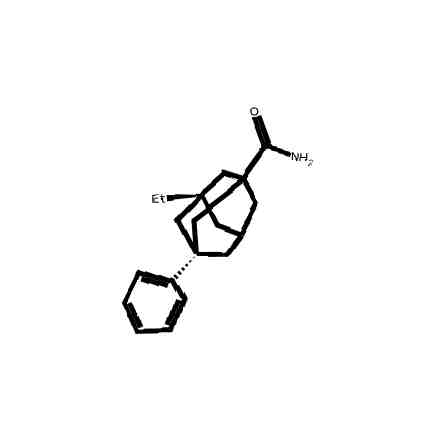 CC[C@]12CC3CC(C(N)=O)(C1)C[C@@](c1ccccc1)(C3)C2